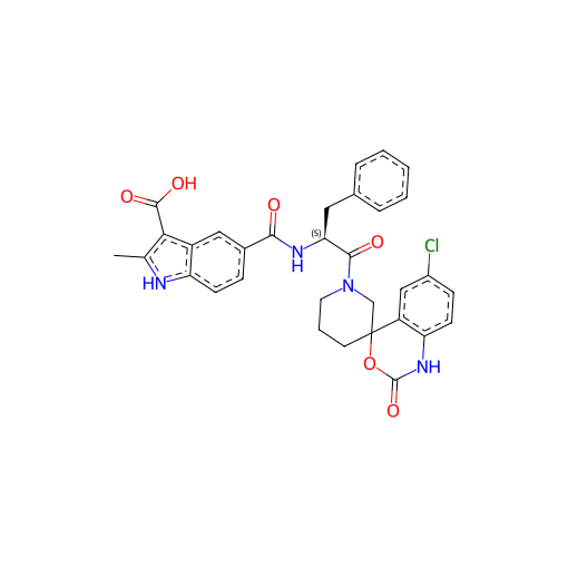 Cc1[nH]c2ccc(C(=O)N[C@@H](Cc3ccccc3)C(=O)N3CCCC4(C3)OC(=O)Nc3ccc(Cl)cc34)cc2c1C(=O)O